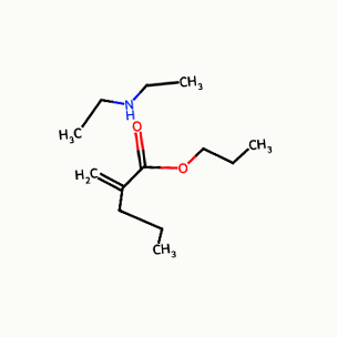 C=C(CCC)C(=O)OCCC.CCNCC